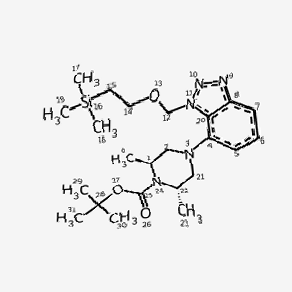 C[C@H]1CN(c2cccc3nnn(COCC[Si](C)(C)C)c23)C[C@H](C)N1C(=O)OC(C)(C)C